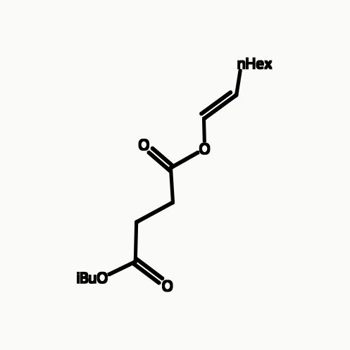 CCCCCCC=COC(=O)CCC(=O)OCC(C)C